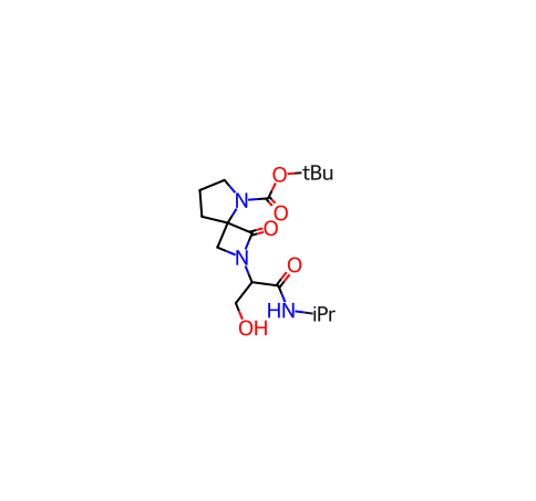 CC(C)NC(=O)C(CO)N1CC2(CCCN2C(=O)OC(C)(C)C)C1=O